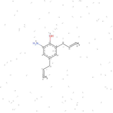 C=CCc1cc(N)c(O)c(CC=C)c1